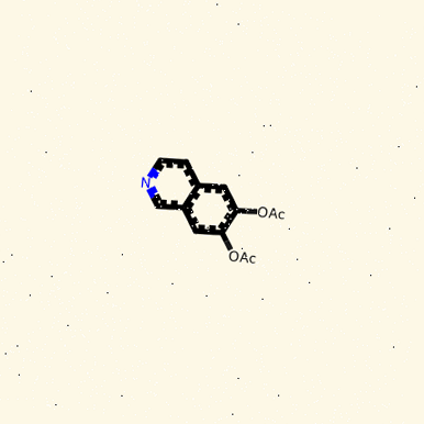 CC(=O)Oc1cc2ccncc2cc1OC(C)=O